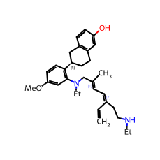 C=C/C(=C\C=C(/C)CN(CC)c1cc(OC)ccc1[C@@H]1CCc2cc(O)ccc2C1)CCNCC